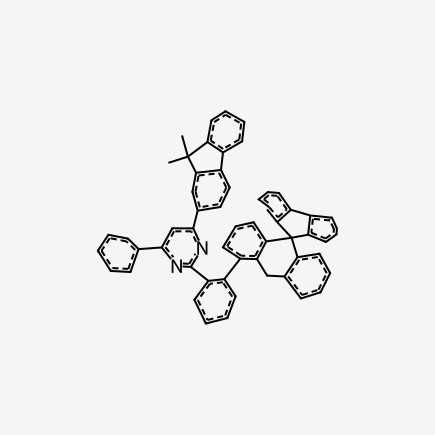 CC1(C)c2ccccc2-c2ccc(-c3cc(-c4ccccc4)nc(-c4ccccc4-c4cccc5c4Cc4ccccc4C54c5ccccc5-c5ccccc54)n3)cc21